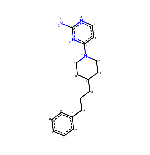 Nc1nccc(N2CCC(CCCc3ccccc3)CC2)n1